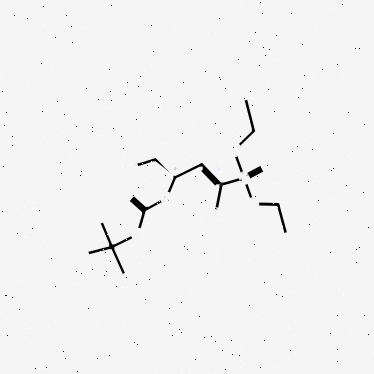 CCOP(=O)(OCC)/C(F)=C/[C@H](CO)NC(=O)OC(C)(C)C